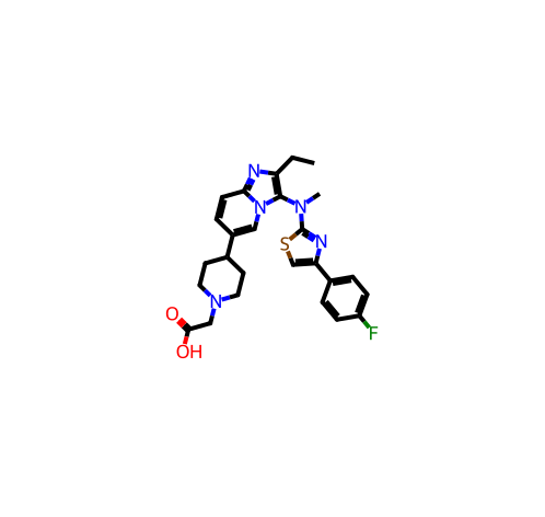 CCc1nc2ccc(C3CCN(CC(=O)O)CC3)cn2c1N(C)c1nc(-c2ccc(F)cc2)cs1